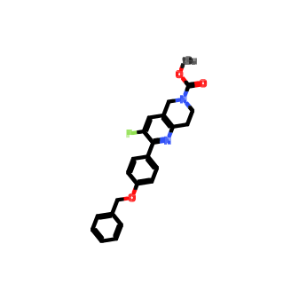 CC(C)(C)OC(=O)N1CCc2nc(-c3ccc(OCc4ccccc4)cc3)c(F)cc2C1